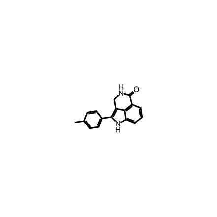 Cc1ccc(-c2[nH]c3cccc4c3c2CNC4=O)cc1